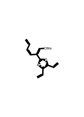 C=C/C=C\C(=C\OC)c1nc(C=C)c(C=C)s1